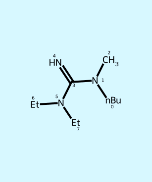 CCCCN(C)C(=N)N(CC)CC